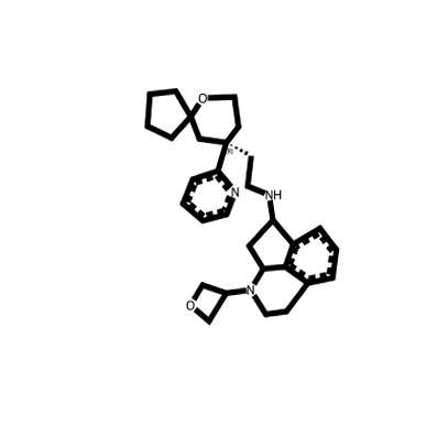 c1ccc([C@]2(CCNC3CC4c5c(cccc53)CCN4C3COC3)CCOC3(CCCC3)C2)nc1